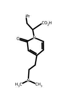 CC(C)CC(C(=O)O)n1ccc(CCN(C)C)cc1=O